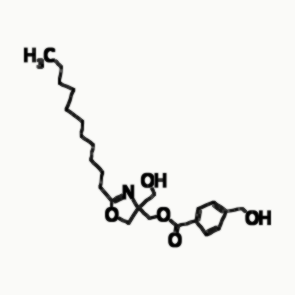 CCCCCCCCCCCC1=NC(CO)(COC(=O)c2ccc(CO)cc2)CO1